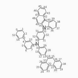 c1ccc(-c2cccc(N(c3ccc(-c4cc5ccccc5c5ccccc45)cc3)c3ccc(-n4c5ccccc5c5c6ccccc6ccc54)cc3)c2)cc1